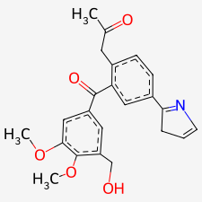 COc1cc(C(=O)c2cc(C3=NC=CC3)ccc2CC(C)=O)cc(CO)c1OC